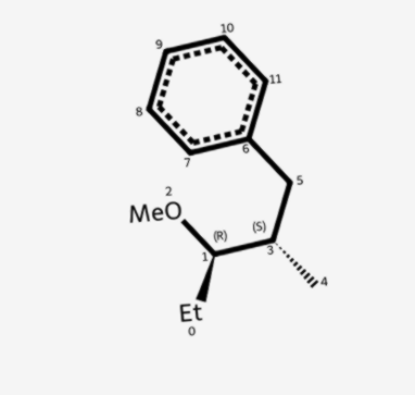 CC[C@@H](OC)[C@@H](C)Cc1ccccc1